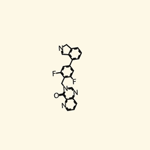 O=c1c2ncccc2ncn1Cc1c(F)cc(-c2cccc3c2C=NC3)cc1F